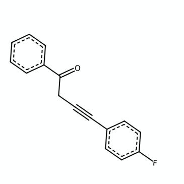 O=C(CC#Cc1ccc(F)cc1)c1ccccc1